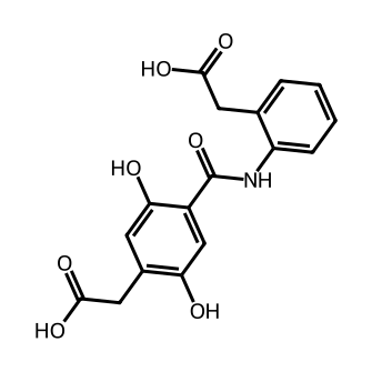 O=C(O)Cc1cc(O)c(C(=O)Nc2ccccc2CC(=O)O)cc1O